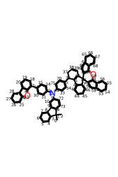 CC1(C)c2ccccc2-c2cc(N(c3ccc(-c4cccc5c4oc4ccccc45)cc3)c3ccc(C4CC=CC5=C4c4ccccc4C54c5ccc6ccccc6c5Oc5c4ccc4ccccc54)cc3)ccc21